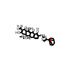 C[C@H]1c2ccc(Nc3nc(C4C5CC6CC(C5)CC4C6)cs3)c(O)c2C(=O)C2=C(O)[C@]3(O)C(=O)C(C(N)=O)=C(O)[C@@H](N(C)C)[C@@H]3[C@@H](O)[C@@H]21